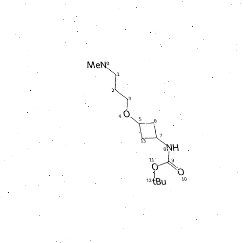 CNCCCOC1CC(NC(=O)OC(C)(C)C)C1